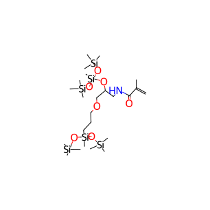 C=C(C)C(=O)NCC(COCCC[Si](C)(O[Si](C)(C)C)O[Si](C)(C)C)O[Si](C)(O[Si](C)(C)C)O[Si](C)(C)C